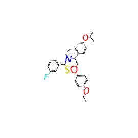 CCOc1ccc(OCC2c3ccc(OC(C)C)cc3CCN2C(=S)c2cccc(F)c2)cc1